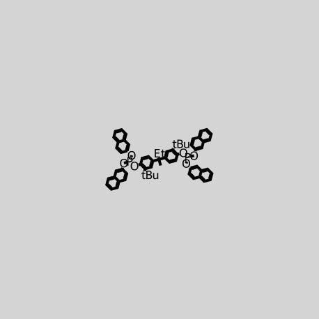 CCC(C)(c1ccc(OP(Oc2ccc3ccccc3c2)Oc2ccc3ccccc3c2)c(C(C)(C)C)c1)c1ccc(OP(Oc2ccc3ccccc3c2)Oc2ccc3ccccc3c2)c(C(C)(C)C)c1